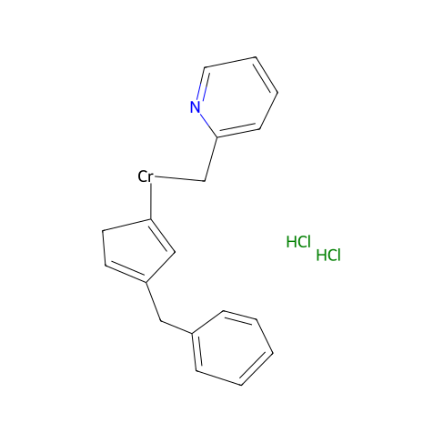 C1=C(Cc2ccccc2)C=[C]([Cr][CH2]c2ccccn2)C1.Cl.Cl